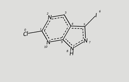 Clc1ncc2c(I)n[nH]c2n1